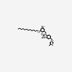 CCCCCCCCCCCCOc1cccc(CN(C(=O)NC)c2ccc(C[n+]3csc(C)c3)cc2)c1.[Br-]